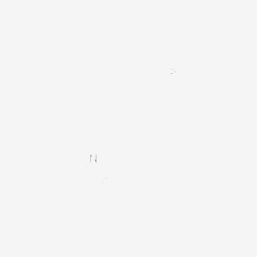 CC1(N)CC[C@@H](c2ccc(Br)cc2)C1